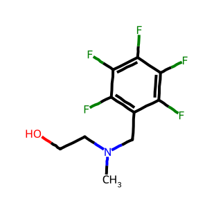 CN(CCO)Cc1c(F)c(F)c(F)c(F)c1F